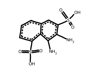 Nc1c(S(=O)(=O)O)cc2cccc(S(=O)(=O)O)c2c1N